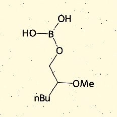 CCCCC(COB(O)O)OC